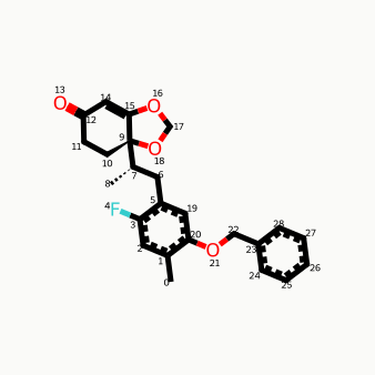 Cc1cc(F)c(C[C@H](C)[C@]23CCC(=O)C=C2OCO3)cc1OCc1ccccc1